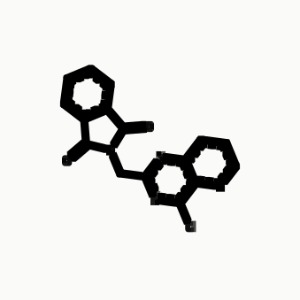 O=C1c2ccccc2C(=O)N1Cc1nc(Cl)c2ncccc2n1